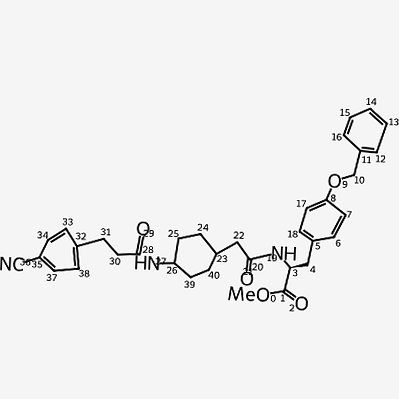 COC(=O)[C@H](Cc1ccc(OCc2ccccc2)cc1)NC(=O)CC1CCC(NC(=O)CCc2ccc(C#N)cc2)CC1